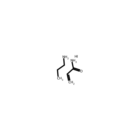 C=CC(N)=O.CCCN.I